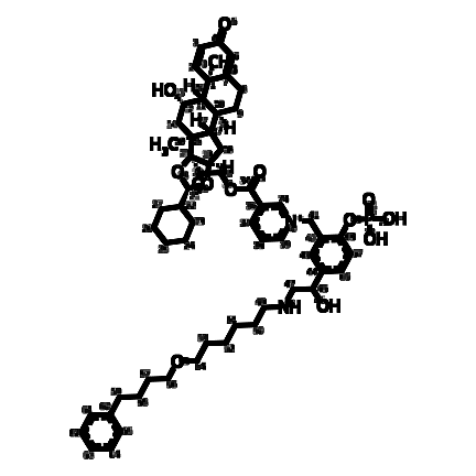 C[C@]12C=CC(=O)C=C1CC[C@@H]1[C@@H]2[C@@H](O)C[C@@]2(C)[C@H]1C[C@H]1O[C@@H](C3CCCCC3)O[C@]12C(=O)COC(=O)c1ccc[n+](Cc2cc(C(O)CNCCCCCCOCCCCc3ccccc3)ccc2OP(=O)(O)O)c1